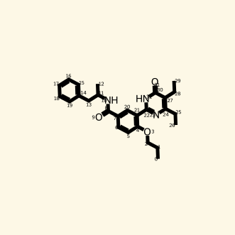 CCCOc1ccc(C(=O)NC(C)Cc2ccccc2)cc1-c1nc(CC)c(CC)c(=O)[nH]1